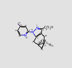 CC12Cc3c(c(C(=O)O)nn3-c3cc(I)ccn3)C[C@H]1C2